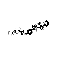 CCCc1c(-c2nc(-c3ccc(CN4CC(C(=O)OC(=O)C(F)(F)F)C4)cc3)no2)noc1-c1ccccn1